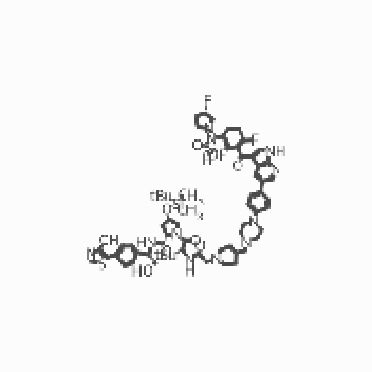 Cc1ncsc1-c1ccc([C@H](CO)NC(=O)[C@@H]2C[C@@H](O[Si](C)(C)C(C)(C)C)CN2C(=O)[C@@H](NC(=O)CN2CCC(CN3CCN(c4ccc(-c5cnc6[nH]cc(C(=O)c7c(F)ccc(N(N8CC[C@@H](F)C8)[SH](=O)=O)c7F)c6c5)cc4)CC3)CC2)C(C)(C)C)cc1